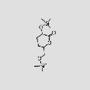 C[Si](C)(C)OCC1CCC(O[Si](C)(C)C)C(=O)O1